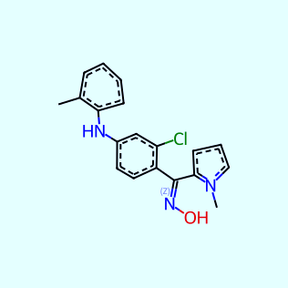 Cc1ccccc1Nc1ccc(/C(=N/O)c2cccn2C)c(Cl)c1